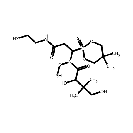 CC1(C)COP(=S)(C(CC(=O)NCCS)N(SS)C(=O)C(O)C(C)(C)CO)OC1